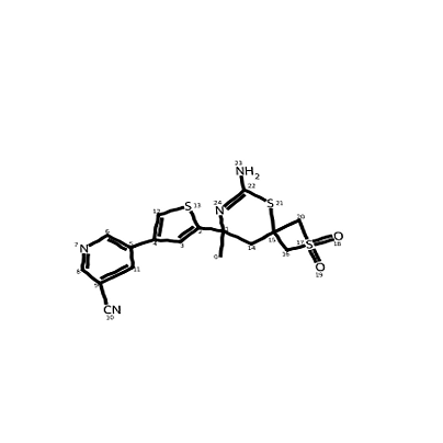 CC1(c2cc(-c3cncc(C#N)c3)cs2)CC2(CS(=O)(=O)C2)SC(N)=N1